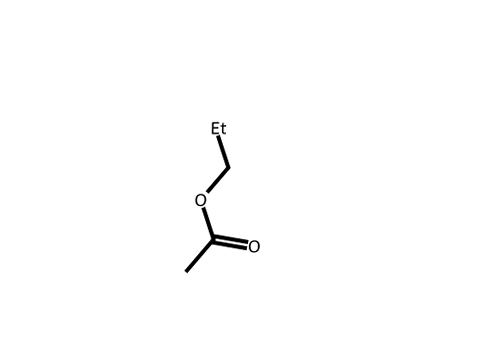 [CH2]CCOC(C)=O